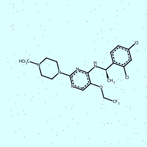 C[C@@H](Nc1nc(N2CCN(C(=O)O)CC2)ncc1OCC(F)(F)F)c1ccc(Cl)cc1Cl